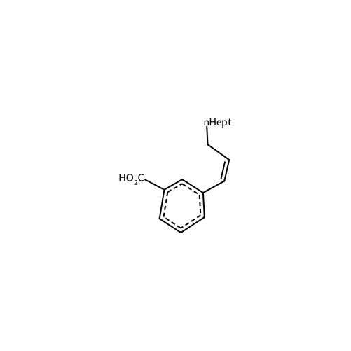 CCCCCCCC/C=C\c1cccc(C(=O)O)c1